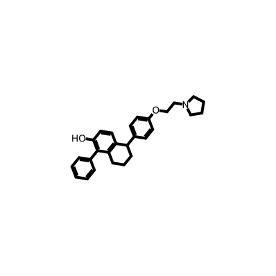 Oc1ccc2c(c1-c1ccccc1)CCCC2c1ccc(OCCN2CCCC2)cc1